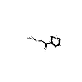 COOCC(=O)c1ccccc1